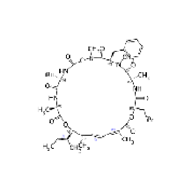 C/C=C(\C)[C@H]1OC(=O)[C@@H](C)NC(=O)[C@H](C(C)CC)NC(=O)CN(C)C(=O)[C@@H](Cc2ccccc2)N(C)C(=O)[C@H](C)NC(=O)[C@@H](CC(C)C)OC(=O)/C(C)=C/C=C/[C@@H]1C